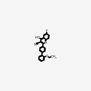 CCOc1ccccc1-c1ccc(-c2nc3ccc(F)cc3c(O)c2C#N)cc1